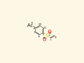 C=CS(=O)(=O)c1ccc(C(C)=O)cc1